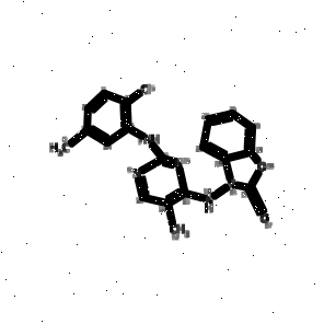 Cc1ccc(Cl)c(Nc2ncc(C)c(Nn3c(=O)oc4ccccc43)n2)c1